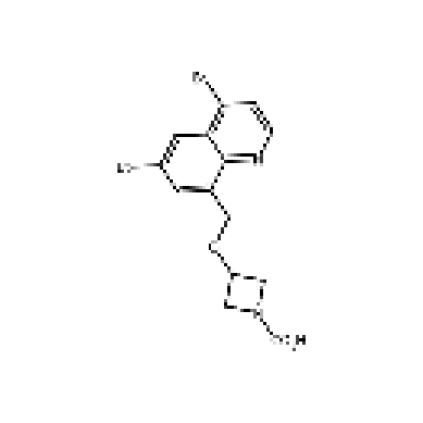 CCc1cc(COC2CN(C(=O)O)C2)c2nccc(Br)c2c1